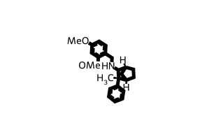 COc1ccc(CNC2[C@@H]3CC[C@@H](C3)[C@]2(C)c2ccccc2)c(OC)c1